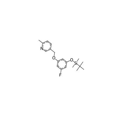 Cc1ccc(COc2cc(F)cc(O[Si](C)(C)C(C)(C)C)c2)cn1